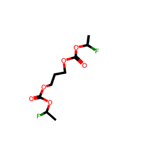 CC(F)OC(=O)OCCCOC(=O)OC(C)F